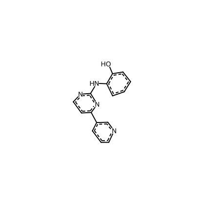 Oc1ccccc1Nc1nccc(-c2cccnc2)n1